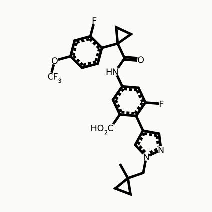 CC1(Cn2cc(-c3c(F)cc(NC(=O)C4(c5ccc(OC(F)(F)F)cc5F)CC4)cc3C(=O)O)cn2)CC1